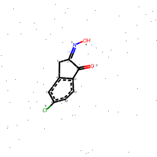 O=C1/C(=N\O)Cc2cc(Cl)ccc21